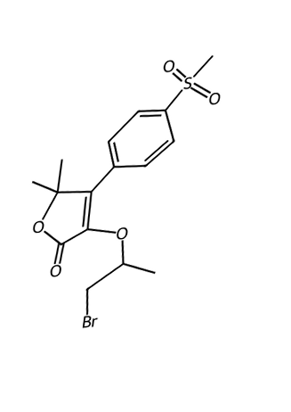 CC(CBr)OC1=C(c2ccc(S(C)(=O)=O)cc2)C(C)(C)OC1=O